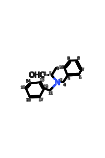 C[C@@H](C=O)N(Cc1ccccc1)Cc1ccccc1